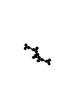 C(=Cc1ccc(N(c2ccccc2)c2ccc(-c3ccc(-c4ccc(N(c5ccccc5)c5ccc(C=Cc6ccc(N(c7ccccc7)c7ccccc7)cc6)cc5)cc4)c4c3ccc3c5ccccc5ccc34)cc2)cc1)c1ccc(N(c2ccccc2)c2ccccc2)cc1